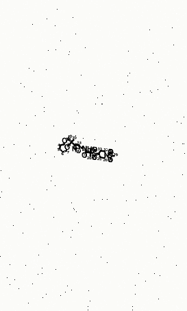 C[C@H](OC1CCCCO1)C(C)(C)c1cc(NC(=O)C(C)(C)S(=O)(=O)C2CCN(S(C)(=O)=O)CC2)on1